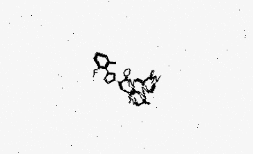 Cc1cnc2cc([C@@H]3CC[C@@H](c4c(C)cccc4F)C3)c(=O)n(Cc3nccnc3C)c2n1